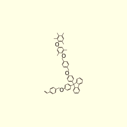 C=Cc1ccc(COc2ccc(C3(c4ccc(OCc5ccc(COc6c(C)cc(Oc7c(C)cc(C)c(C)c7C)cc6C)cc5)cc4)c4ccccc4-c4ccccc43)cc2)cc1